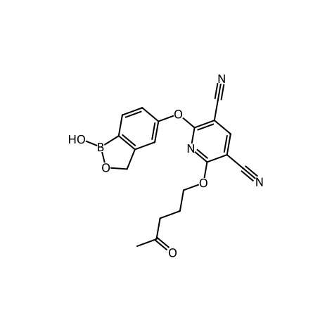 CC(=O)CCCOc1nc(Oc2ccc3c(c2)COB3O)c(C#N)cc1C#N